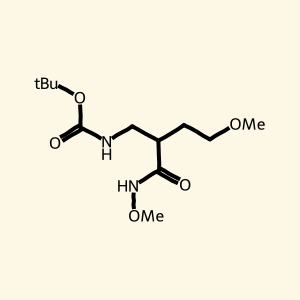 COCCC(CNC(=O)OC(C)(C)C)C(=O)NOC